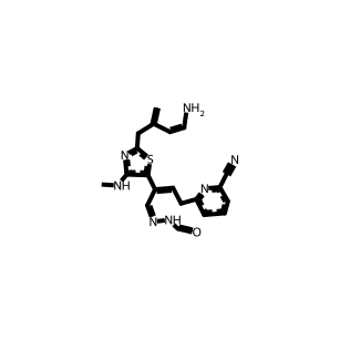 C=C(/C=C\N)Cc1nc(NC)c(C(/C=N\NC=O)=C/Cc2cccc(C#N)n2)s1